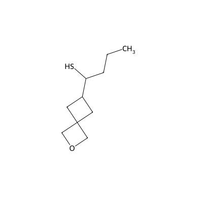 CCCC(S)C1CC2(COC2)C1